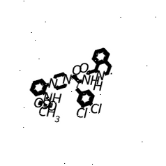 CS(=O)(=O)Nc1ccccc1N1CCN(C(=O)[C@@H](Cc2ccc(Cl)c(Cl)c2)NC(=O)C2N[CH]Cc3ccccc32)CC1